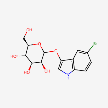 OC[C@H]1OC(Oc2c[nH]c3ccc(Br)cc23)[C@@H](O)[C@@H](O)[C@@H]1O